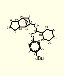 CCC(C)c1ccc(OC(OC2CC3CC2C2CCCC32)C2CCCCC2)cc1